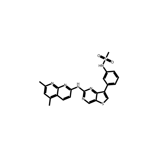 Cc1cc(C)c2ccc(Nc3ncc4scc(-c5cccc(NS(C)(=O)=O)c5)c4n3)nc2n1